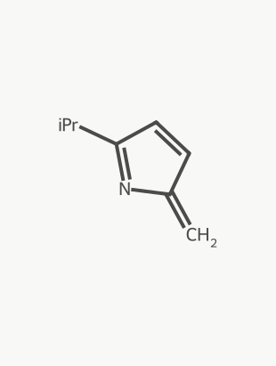 C=C1C=CC(C(C)C)=N1